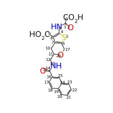 O=C(O)C(=O)Nc1sc2c(c1C(=O)O)CC(CNC(=O)c1ccc3ccccc3c1)OC2